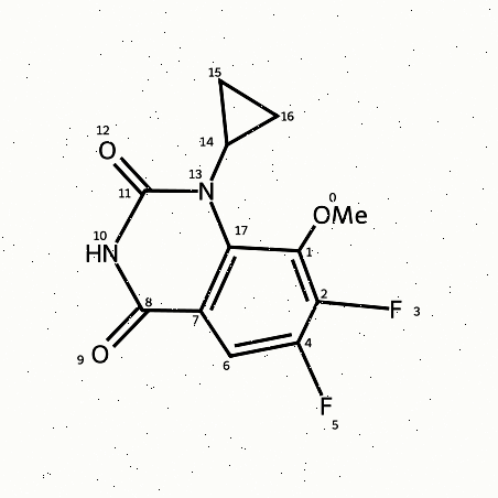 COc1c(F)c(F)cc2c(=O)[nH]c(=O)n(C3CC3)c12